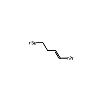 CC[CH]CCCC=CCCC